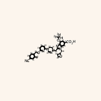 [2H]C([2H])([2H])Oc1cc(C(=O)O)cc2c1nc(CN1CCN(c3cccc(OCc4ccc(C#N)cc4F)n3)C=N1)n2C[C@@H]1CCO1